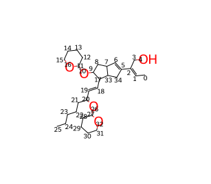 CC=C(CO)C1=CC2CC(OC3CCCCO3)C(C=CC(CCCCC)OC3CCCCO3)C2C1